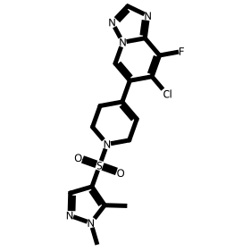 Cc1c(S(=O)(=O)N2CC=C(c3cn4ncnc4c(F)c3Cl)CC2)cnn1C